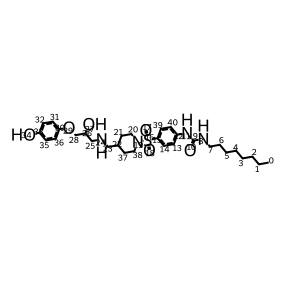 CCCCCCCCNC(=O)Nc1ccc(S(=O)(=O)N2CCC(CNCC(O)COc3ccc(O)cc3)CC2)cc1